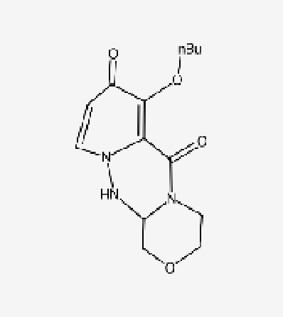 CCCCOc1c2n(ccc1=O)NC1COCCN1C2=O